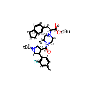 Cc1ccc(C2CN(C(C)(C)C)CC2C(=O)N2CCN([C@@H](Cc3ccc4c(c3)CCC4)C(=O)OC(C)(C)C)C[C@@H]2C)c(F)c1